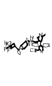 COc1cnc(Cl)cc1-c1cc(C)ncc1C(=O)Nc1nc2c(s1)CN(C(=O)C1CC(O)(C(F)(F)F)C1)C2